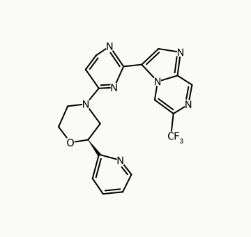 FC(F)(F)c1cn2c(-c3nccc(N4CCO[C@H](c5ccccn5)C4)n3)cnc2cn1